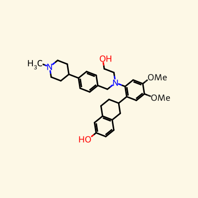 COc1cc(C2CCc3cc(O)ccc3C2)c(N(CCO)Cc2ccc(C3CCN(C)CC3)cc2)cc1OC